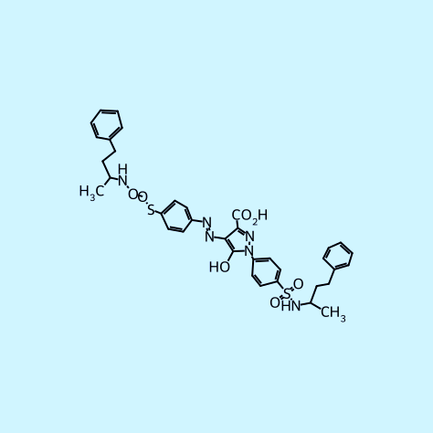 CC(CCc1ccccc1)NOOSc1ccc(N=Nc2c(C(=O)O)nn(-c3ccc(S(=O)(=O)NC(C)CCc4ccccc4)cc3)c2O)cc1